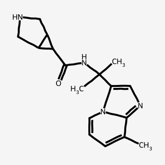 Cc1cccn2c(C(C)(C)NC(=O)C3C4CNCC43)cnc12